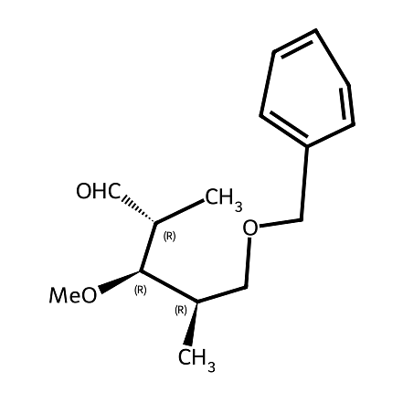 CO[C@H]([C@H](C)COCc1ccccc1)[C@@H](C)C=O